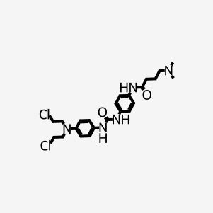 CN(C)CCCC(=O)Nc1ccc(NC(=O)Nc2ccc(N(CCCl)CCCl)cc2)cc1